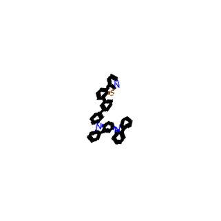 c1cc(-c2cccc(-n3c4ccccc4c4cc(-n5c6ccccc6c6ccccc65)ccc43)c2)cc(-c2cccc3c2sc2ncccc23)c1